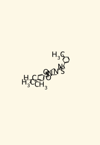 Cc1cccc(-c2csc(N3CCN(S(=O)(=O)c4ccc(C(C)(C)C)cc4)CC3)n2)c1